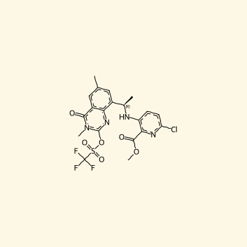 COC(=O)c1nc(Cl)ccc1N[C@H](C)c1cc(C)cc2c(=O)n(C)c(OS(=O)(=O)C(F)(F)F)nc12